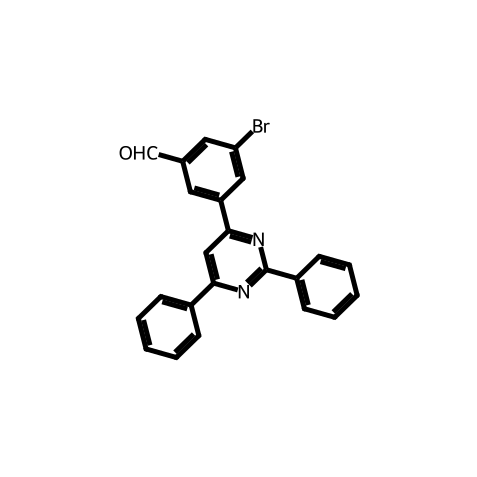 O=Cc1cc(Br)cc(-c2cc(-c3ccccc3)nc(-c3ccccc3)n2)c1